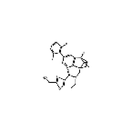 CCN(C[C@@]12CC[C@@H](c3cc(-c4c(F)cccc4F)nnc31)C2(C)C)C(=O)c1coc(CO)n1